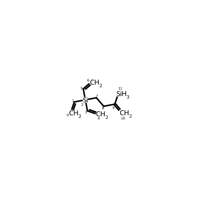 C=C[Si](C=C)(C=C)CCC(=C)[SiH3]